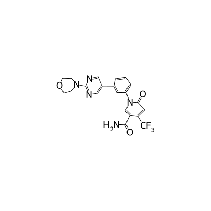 NC(=O)c1cn(-c2cccc(-c3cnc(N4CCOCC4)nc3)c2)c(=O)cc1C(F)(F)F